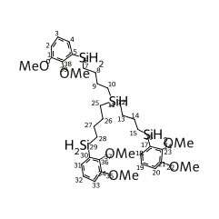 COc1cccc([SiH2]CCCC[SiH](CCCC[SiH2]c2cccc(OC)c2OC)CCCC[SiH2]c2cccc(OC)c2OC)c1OC